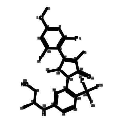 COc1cc(F)c(-c2c(C)c(=O)n(-c3nc(N[C@@H](C)CO)ccc3C(F)(F)F)n2C)c(F)c1